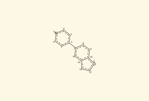 [c]1c(-c2ccncc2)ccc2occc12